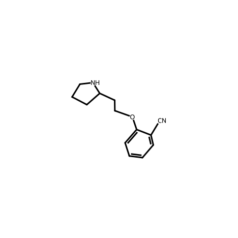 N#Cc1ccccc1OCCC1CCCN1